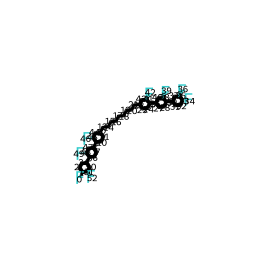 Fc1ccc(-c2ccc(-c3ccc(CCCCCCCCCc4ccc(-c5ccc(-c6ccc(F)c(F)c6)c(F)c5)c(F)c4)cc3F)cc2F)cc1F